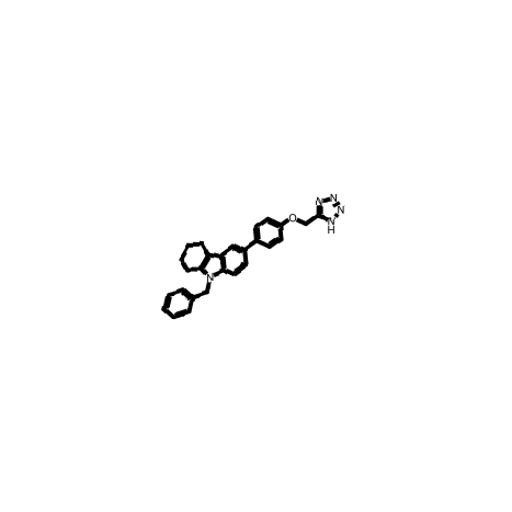 c1ccc(Cn2c3c(c4cc(-c5ccc(OCc6nnn[nH]6)cc5)ccc42)CCCC3)cc1